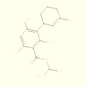 CC1=CC(c2c(O)cc(C)c(C(=O)NC(C)C)c2O)CCC1